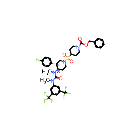 CN(C(=O)N(C)[C@@H]1CCN(S(=O)(=O)C2CCN(C(=O)OCc3ccccc3)CC2)C[C@H]1c1ccc(F)cc1)c1cc(C(F)(F)F)cc(C(F)(F)F)c1